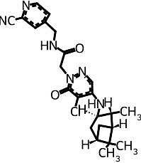 C[C@@H]1[C@H]2C[C@@H](C[C@H]1Nc1cnn(CC(=O)NCc3ccnc(C#N)c3)c(=O)c1Cl)C2(C)C